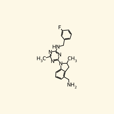 Cc1nc(NCc2cccc(F)c2)nc(N2c3cccc(CN)c3CC2C)n1